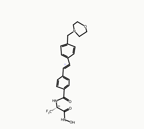 O=C(N[C@H](C(=O)NO)C(F)(F)F)c1ccc(/C=C/c2ccc(CN3CCOCC3)cc2)cc1